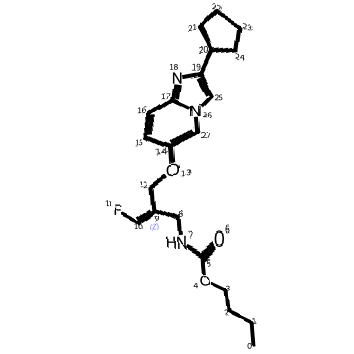 CCCCOC(=O)NC/C(=C/F)COc1ccc2nc(C3CCCC3)cn2c1